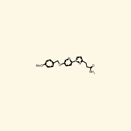 COc1ccc(COc2ccc(-n3ccc(CCC(N)=O)n3)nc2)cc1